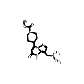 CN(C)Cc1cnn2c(C3CCN(C(=O)OC(C)(C)C)CC3)cc(=O)[nH]c12